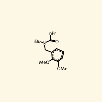 CCCC(=O)N(Cc1cccc(OC)c1OC)C(C)CC